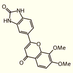 COc1ccc2c(=O)cc(-c3ccc4[nH]c(=O)[nH]c4c3)oc2c1OC